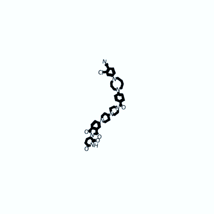 N#Cc1ccc(N2CCCCN(c3ccc(C(=O)N4CCN(C5CCN(c6ccc7c(c6)C(=O)N(C6CCC(=O)NC6=O)C7=O)CC5)CC4)cc3)CCC2)cc1Cl